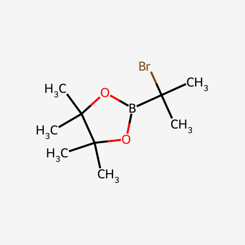 CC(C)(Br)B1OC(C)(C)C(C)(C)O1